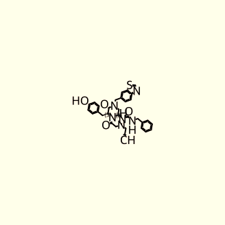 C#CCN1CC(=O)N2[C@@H](Cc3ccc(O)cc3)C(=O)N(Cc3ccc4ncsc4c3)C[C@@H]2N1C(=O)NCc1ccccc1